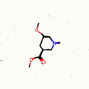 COC(=O)C1CC(OC)CN(C)C1